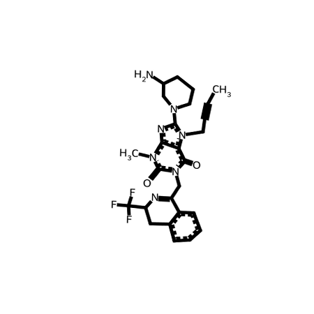 CC#CCn1c(N2CCCC(N)C2)nc2c1c(=O)n(CC1=NC(C(F)(F)F)Cc3ccccc31)c(=O)n2C